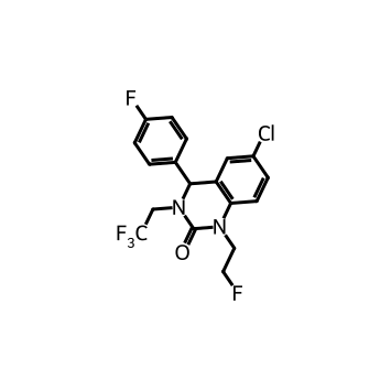 O=C1N(CCF)c2ccc(Cl)cc2C(c2ccc(F)cc2)N1CC(F)(F)F